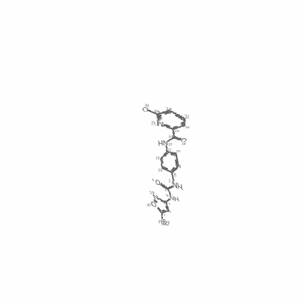 CC(C)(C)c1cc(NC(=O)Nc2ccc(NC(=O)c3cccc(Cl)n3)cc2)no1